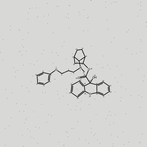 CN(CCCOc1ccccc1)C1C2CCC1C(OC(=O)C1(O)c3ccccc3Oc3ccccc31)C2